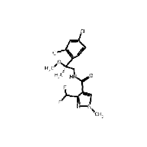 CO[C@](C)(CNC(=O)c1cn(C)nc1C(F)F)c1ccc(Cl)cc1Cl